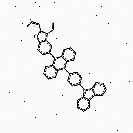 C=Cc1c(/C=C\C)oc2ccc(-c3c4ccccc4c(-c4ccc(-n5c6ccccc6c6ccccc65)cc4)c4ccccc34)cc12